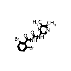 Cc1ncc(NC(=O)NC(=O)c2c(Br)cccc2Br)nc1C